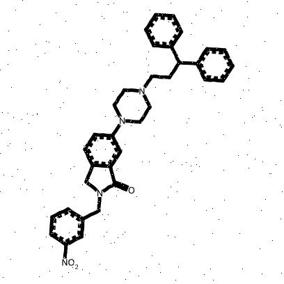 O=C1c2cc(N3CCN(CCC(c4ccccc4)c4ccccc4)CC3)ccc2CN1Cc1cccc([N+](=O)[O-])c1